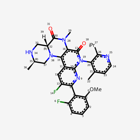 COc1cccc(F)c1-c1nc2c(cc1F)c1c(c(=O)n2-c2c(C)ccnc2C(C)C)N(C)C(=O)[C@H]2CN[C@H](C)CN12